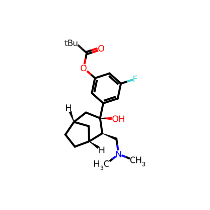 CN(C)C[C@H]1[C@@H]2CC[C@@H](C2)C[C@]1(O)c1cc(F)cc(OC(=O)C(C)(C)C)c1